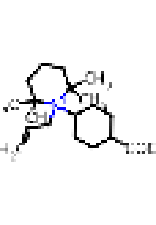 C=CC[N+]1(C2CCC(C(=O)[O-])CC2)C(C)(C)CCCC1(C)C